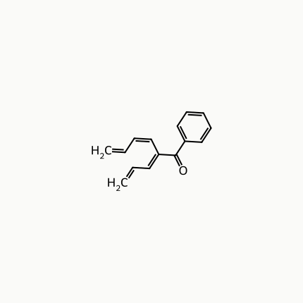 C=C/C=C\C(=C/C=C)C(=O)c1ccccc1